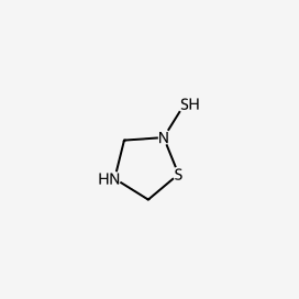 SN1CNCS1